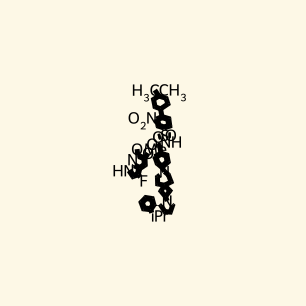 COc1nc2[nH]cc(F)c2cc1Oc1cc(N2CCC3(CC2)CC(N2CCC[C@@H]2c2ccccc2C(C)C)C3)ccc1C(=O)NS(=O)(=O)c1ccc(C2CCC(C)(C)CC2)c([N+](=O)[O-])c1